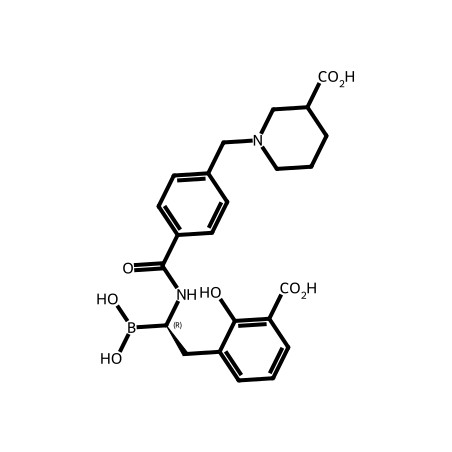 O=C(N[C@@H](Cc1cccc(C(=O)O)c1O)B(O)O)c1ccc(CN2CCCC(C(=O)O)C2)cc1